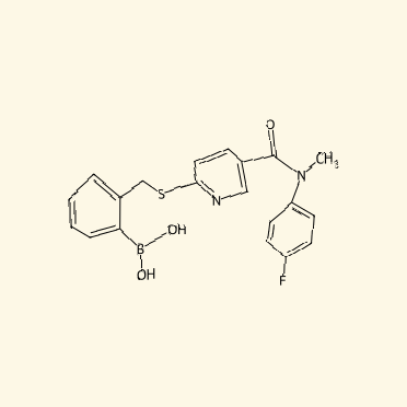 CN(C(=O)c1ccc(SCc2ccccc2B(O)O)nc1)c1ccc(F)cc1